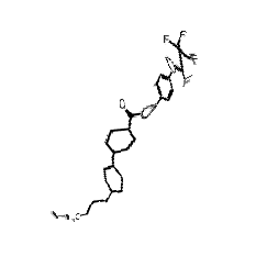 CCCCC1CCC(C2CCC(C(=O)Oc3ccc(OC(F)C(F)(F)F)cc3)CC2)CC1